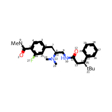 CNC(=O)c1ccc(C[C@@H](CNC(=O)C[C@@H](c2ccccc2)C(C)(C)C)N(C)C)cc1F